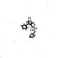 O=C(NCc1cccnn1)N1CCc2[nH]nc(-c3ccccc3)c2C1